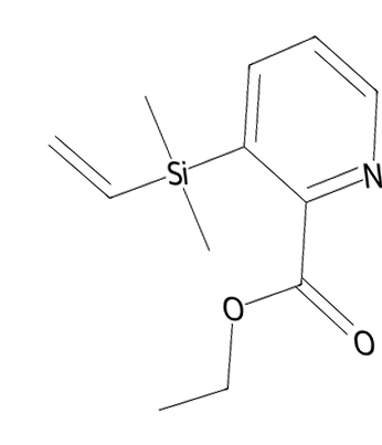 C=C[Si](C)(C)c1cccnc1C(=O)OCC